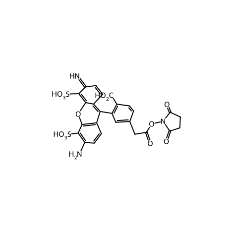 N=c1ccc2c(-c3cc(CC(=O)ON4C(=O)CCC4=O)ccc3C(=O)O)c3ccc(N)c(S(=O)(=O)O)c3oc-2c1S(=O)(=O)O